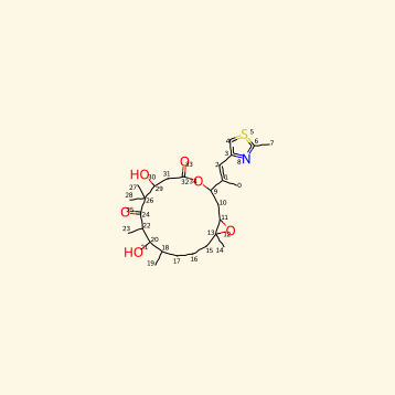 C/C(=C\c1csc(C)n1)C1CC2OC2(C)CCCC(C)C(O)C(C)C(=O)C(C)(C)C(O)CC(=O)O1